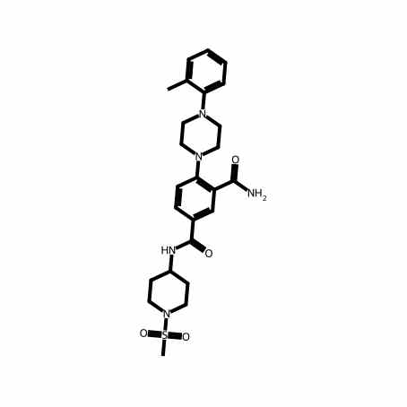 Cc1ccccc1N1CCN(c2ccc(C(=O)NC3CCN(S(C)(=O)=O)CC3)cc2C(N)=O)CC1